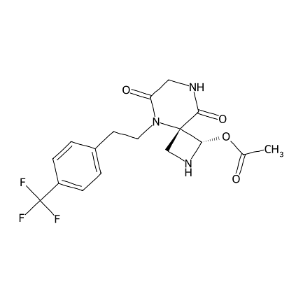 CC(=O)O[C@@H]1NC[C@@]12C(=O)NCC(=O)N2CCc1ccc(C(F)(F)F)cc1